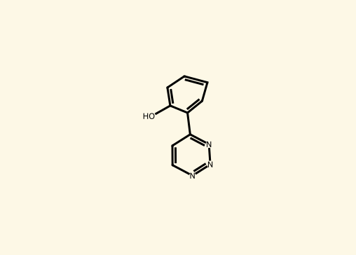 Oc1ccccc1-c1ccnnn1